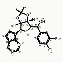 CC1(C)O[C@H]2[C@@H](O1)[C@H](n1ccc3cncnc31)O[C@@H]2[C@@H](O)c1ccc(Cl)c(F)c1